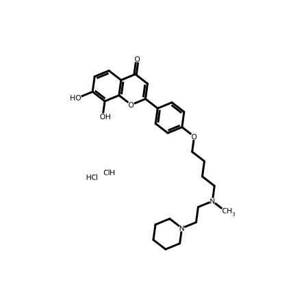 CN(CCCCOc1ccc(-c2cc(=O)c3ccc(O)c(O)c3o2)cc1)CCN1CCCCC1.Cl.Cl